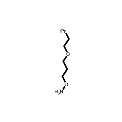 CC(C)CCOCCCON